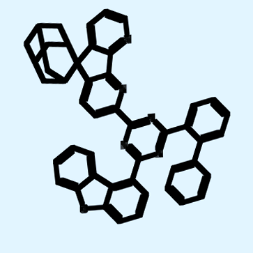 c1ccc(-c2ccccc2-c2nc(-c3ccc4c(n3)-c3ncccc3C43C4CC5CC(C4)CC3C5)nc(-c3cccc4oc5ccccc5c34)n2)cc1